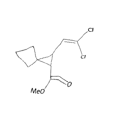 COC(=O)C1C(C=C(Cl)Cl)C12CCC2